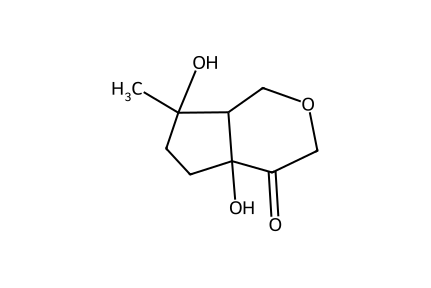 CC1(O)CCC2(O)C(=O)COCC12